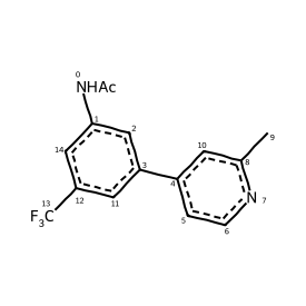 CC(=O)Nc1cc(-c2ccnc(C)c2)cc(C(F)(F)F)c1